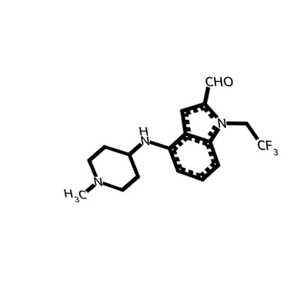 CN1CCC(Nc2cccc3c2cc(C=O)n3CC(F)(F)F)CC1